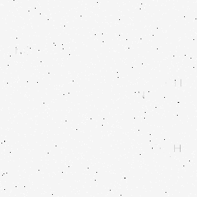 N#Cc1ccc2c(c1)cc(C(=O)O)n2O